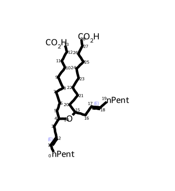 CCCCC/C=C/CC(CCCCCCCCC(=O)O)OC(C/C=C/CCCCC)CCCCCCCCC(=O)O